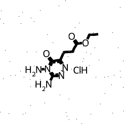 CCOC(=O)CCc1nnc(N)n(N)c1=O.Cl